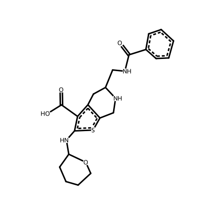 O=C(NCC1Cc2c(sc(NC3CCCCO3)c2C(=O)O)CN1)c1ccccc1